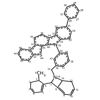 CC1CC=CC=C1C1C2=CC=CCC2N1Cc1cccc(-n2c3ccc(-c4ccccc4)cc3c3ccc4c5ccccc5sc4c32)c1